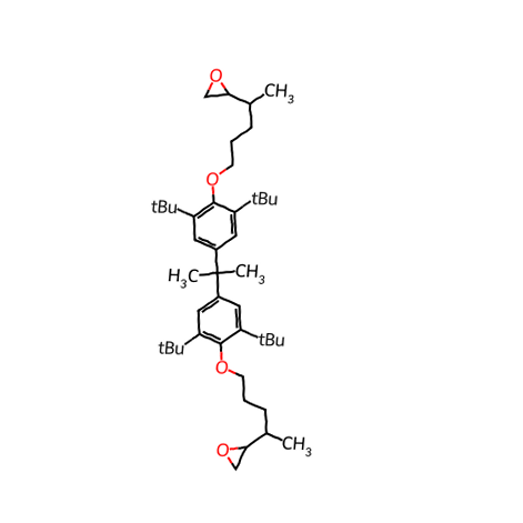 CC(CCCOc1c(C(C)(C)C)cc(C(C)(C)c2cc(C(C)(C)C)c(OCCCC(C)C3CO3)c(C(C)(C)C)c2)cc1C(C)(C)C)C1CO1